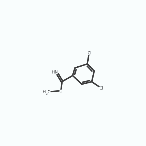 COC(=N)c1cc(Cl)cc(Cl)c1